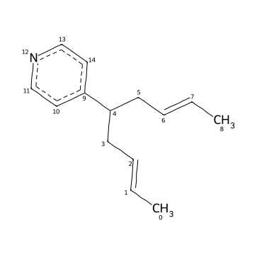 CC=CCC(CC=CC)c1ccncc1